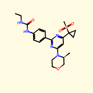 CCNC(=O)Nc1ccc(-c2nc(N3CCOC[C@@H]3C)cc(C3(S(C)(=O)=O)CC3)n2)cc1